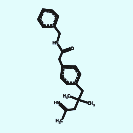 CC(=N)CC(C)(C)Cc1ccc(CC(=O)NCc2ccccc2)cc1